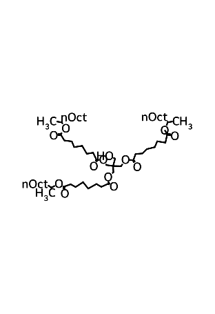 CCCCCCCCC(C)OC(=O)CCCCCCC(=O)OCC(CO)(COC(=O)CCCCCCC(=O)OC(C)CCCCCCCC)COC(=O)CCCCCCC(=O)OC(C)CCCCCCCC